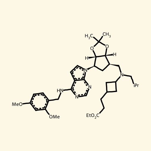 CCOC(=O)CCC1CC(N(CC(C)C)C[C@H]2C[C@@H](n3ccc4c(NCc5ccc(OC)cc5OC)ncnc43)[C@@H]3OC(C)(C)O[C@H]23)C1